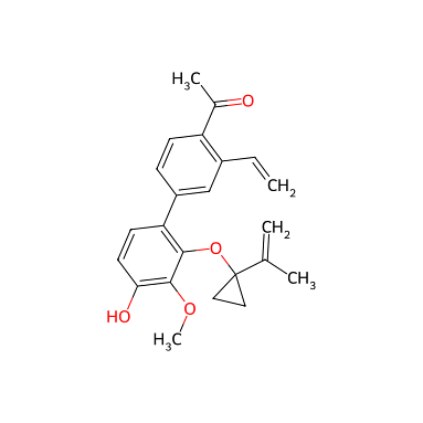 C=Cc1cc(-c2ccc(O)c(OC)c2OC2(C(=C)C)CC2)ccc1C(C)=O